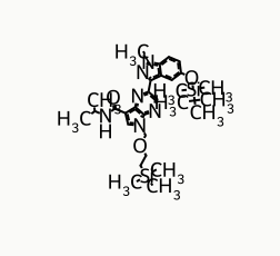 CC(C)NC(=O)c1cn(COCC[Si](C)(C)C)c2ncc(-c3nn(C)c4ccc(O[Si](C)(C)C(C)(C)C)cc34)nc12